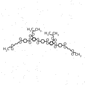 C=CC(=O)OCCCCOC(=O)C1CCC(C(=O)Oc2ccc(OC(=O)C3CCC(C(=O)Oc4ccc(OC(=O)C5CCC(C(=O)OCCCCOC(=O)C=C)CC5)c(C(=O)OCC(C)CC)c4)CC3)cc2C(=O)OCC(C)CC)CC1